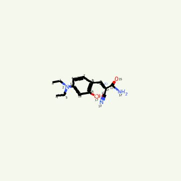 CCN(CC)c1ccc(/C=C(\C#N)C(N)=O)c(O)c1